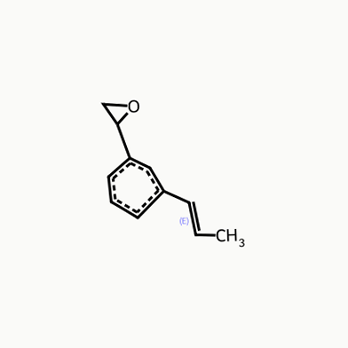 C/C=C/c1cccc(C2CO2)c1